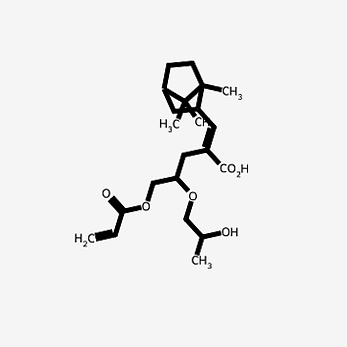 C=CC(=O)OCC(CC(=CC1CC2CCC1(C)C2(C)C)C(=O)O)OCC(C)O